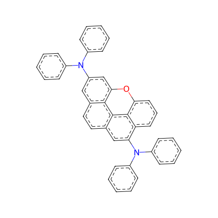 c1ccc(N(c2ccccc2)c2cc3c4c(ccc5cc(N(c6ccccc6)c6ccccc6)c6cccc(c6c54)O3)c2)cc1